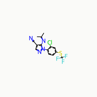 CC(C)=Nc1c(C#N)cnn1-c1ccc(SC(F)(F)F)cc1Cl